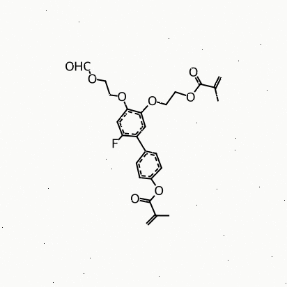 C=C(C)C(=O)OCCOc1cc(-c2ccc(OC(=O)C(=C)C)cc2)c(F)cc1OCCOC=O